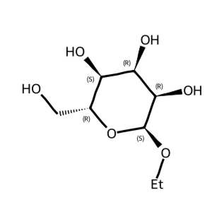 CCO[C@H]1O[C@H](CO)[C@@H](O)[C@@H](O)[C@H]1O